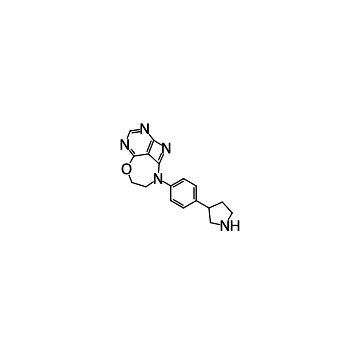 c1nc2c3c(n1)OCCN(c1ccc(C4CCNC4)cc1)C3=N2